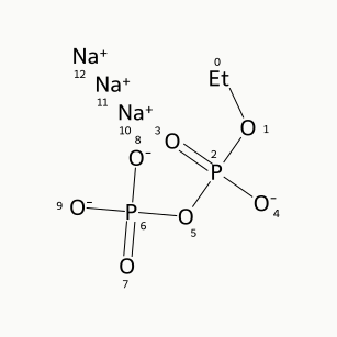 CCOP(=O)([O-])OP(=O)([O-])[O-].[Na+].[Na+].[Na+]